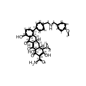 COc1ccc(CNCc2ccc(-c3ccc(O)c4c3C[C@@H]3C[C@@H]5C(N(C)C)C(O)=C(C(N)=O)C(=O)[C@]5(O)C(O)=C3C4=O)cc2)cc1